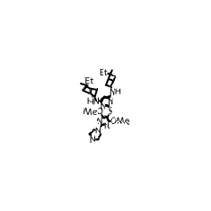 CCC1(C)CC2C(Nc3cc(NC4CC5C4CC5(C)CC)nc(Sc4c(OC)nc(N5CCN(C)CC5)nc4OC)n3)CC21